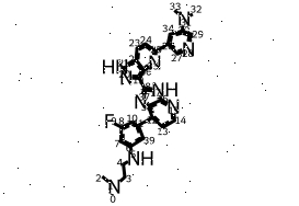 CN(C)CCNc1cc(F)cc(-c2ccnc3[nH]c(-c4n[nH]c5ccc(-c6cncc(N(C)C)c6)nc45)nc23)c1